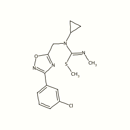 CN=C(SC)N(Cc1nc(-c2cccc(Cl)c2)no1)C1CC1